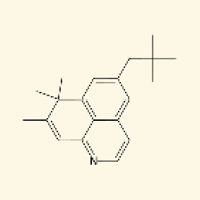 CC1=Cc2nccc3cc(CC(C)(C)C)cc(c23)C1(C)C